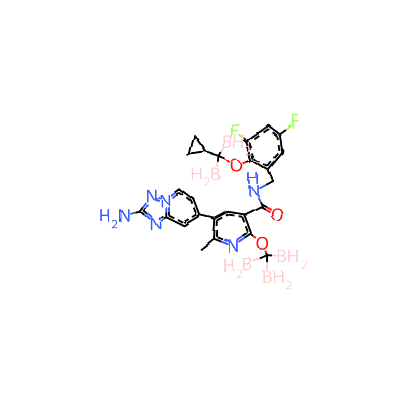 BC(B)(B)Oc1nc(C)c(-c2ccn3nc(N)nc3c2)cc1C(=O)NCc1cc(F)cc(F)c1OC(B)(B)C1CC1